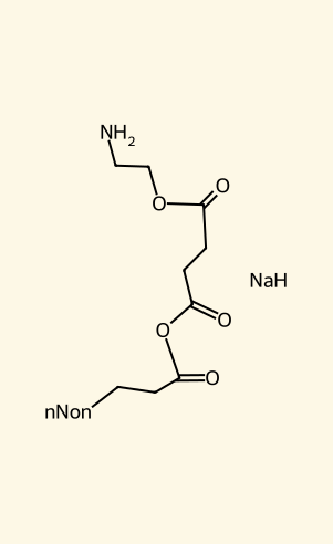 CCCCCCCCCCCC(=O)OC(=O)CCC(=O)OCCN.[NaH]